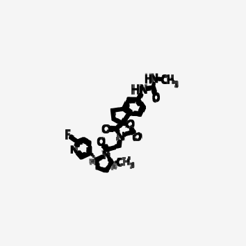 CNC(=O)Nc1ccc2c(c1)CCC21OC(=O)N(CC(=O)N2[C@H](C)CC[C@@H]2c2ccc(F)nc2)C1=O